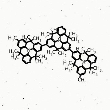 Cc1cc2c3c(c1)C(C)(C)c1cc(-c4cc5c6c(c4)C(C)(C)c4cc(-c7cc8c9c(c7)C(C)(C)c7cc(C)cc%10c7N9c7c(cccc7C8(C)C)C%10(C)C)cc7c4N6c4c(cccc4C7(C)C)C5(C)C)cc4c1N3c1c(cccc1C4(C)C)C2(C)C